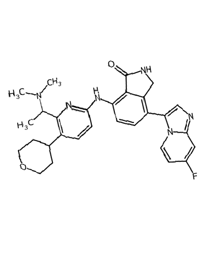 CC(c1nc(Nc2ccc(-c3cnc4cc(F)ccn34)c3c2C(=O)NC3)ccc1C1CCOCC1)N(C)C